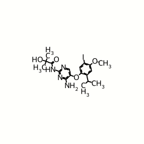 COc1cc(C(C)C)c(Oc2cnc(NC(=O)C(C)(C)O)nc2N)cc1I